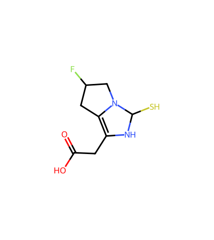 O=C(O)CC1=C2CC(F)CN2C(S)N1